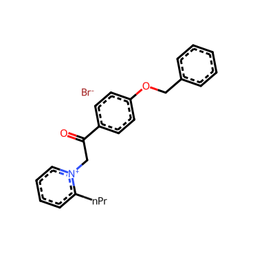 CCCc1cccc[n+]1CC(=O)c1ccc(OCc2ccccc2)cc1.[Br-]